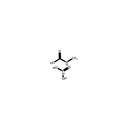 CNC(=O)O.O=[PH](O)O